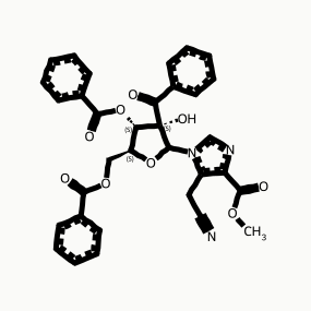 COC(=O)c1ncn(C2O[C@@H](COC(=O)c3ccccc3)[C@H](OC(=O)c3ccccc3)[C@@]2(O)C(=O)c2ccccc2)c1CC#N